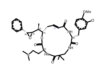 COc1ccc(C[C@H]2NC(=O)/C=C/C[C@@H]([C@H](C)[C@H]3O[C@@H]3c3ccccc3)OC(=O)[C@H](CCN(C)C)NC(=O)C(C)(C)CNC2=O)cc1Cl